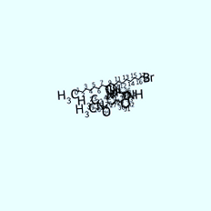 CCCCCCCCCCCCCCCCCCBr.CCN(CC)C(=O)[C@@H]1C=C2c3cccc4[nH]cc(c34)C[C@H]2N(C)C1